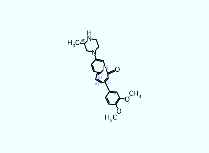 COc1ccc(C2=C\C(=O)N3C=C(N4CCN[C@H](C)C4)C=C\C3=C/C=C/2)cc1OC